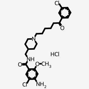 COc1cc(N)c(Cl)cc1C(=O)NCC1CCN(CCCCCC(=O)c2cccc(Cl)c2)CC1.Cl